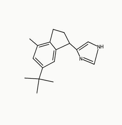 Cc1cc(C(C)(C)C)cc2c1CCC2c1c[nH]cn1